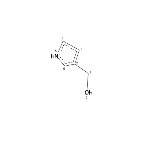 OCc1c[c][nH]c1